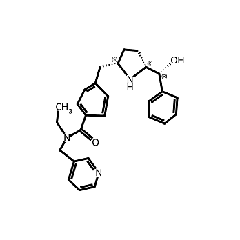 CCN(Cc1cccnc1)C(=O)c1ccc(C[C@@H]2CC[C@H]([C@H](O)c3ccccc3)N2)cc1